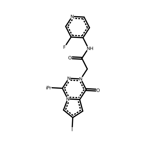 CC(C)c1nn(CC(=O)Nc2ccncc2F)c(=O)c2cc(I)cn12